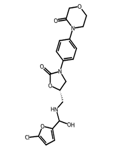 O=C1COCCN1c1ccc(N2C[C@H](CNC(O)c3ccc(Cl)o3)OC2=O)cc1